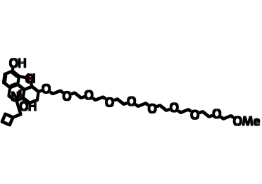 COCCOCCOCCOCCOCCOCCOCCOCCOCCOC1CC[C@@]2(O)C3Cc4ccc(O)c5c4[C@@]2(CCN3CC2CCC2)[C@H]1O5